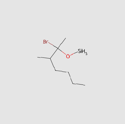 CCCCC(C)C(C)(Br)O[SiH3]